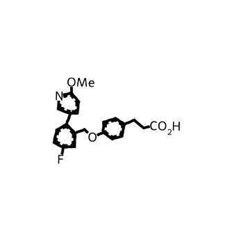 COc1ccc(-c2ccc(F)cc2COc2ccc(CCC(=O)O)cc2)cn1